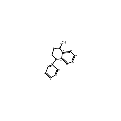 N#CC1CCC(c2ccccc2)c2ccccc21